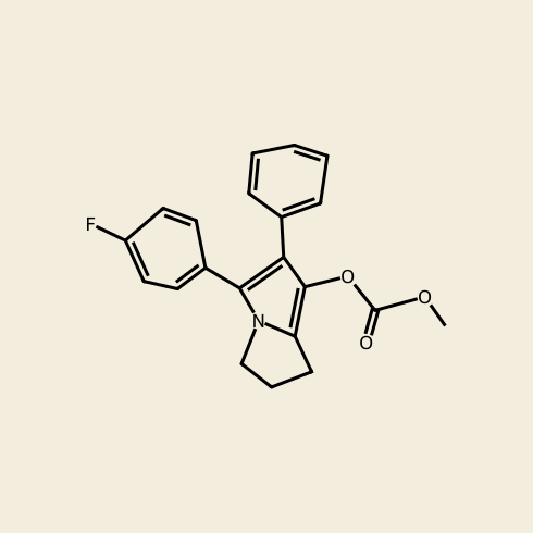 COC(=O)Oc1c(-c2ccccc2)c(-c2ccc(F)cc2)n2c1CCC2